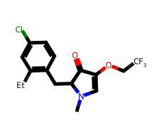 CCc1cc(Cl)ccc1CC1C(=O)C(OCC(F)(F)F)=CN1C